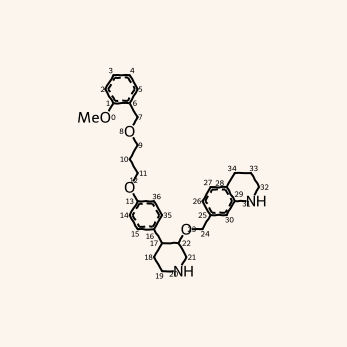 COc1ccccc1COCCCOc1ccc(C2CCNCC2OCc2ccc3c(c2)NCCC3)cc1